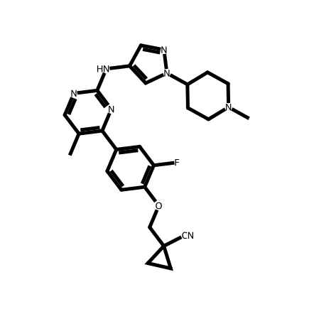 Cc1cnc(Nc2cnn(C3CCN(C)CC3)c2)nc1-c1ccc(OCC2(C#N)CC2)c(F)c1